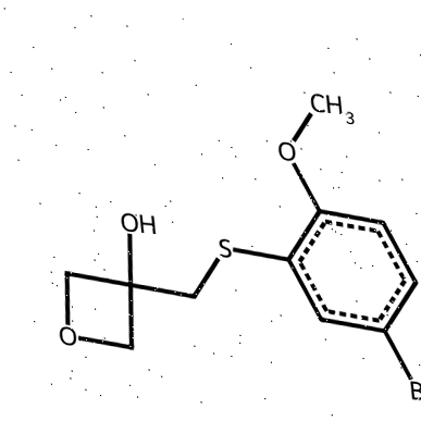 COc1ccc(Br)cc1SCC1(O)COC1